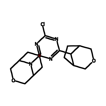 Clc1nc(C2C3CCC2COC3)nc(N2C3COCC2COC3)n1